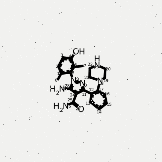 Cc1ccc(O)c(C)c1-n1nc(-c2ccccc2N2CCNCC2)c(C(N)=O)c1N